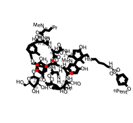 CCCCCOc1ccc(S(=O)(=O)NCCCCNCc2c(O)cc([C@H](NC)C(=O)O)c(-c3cc([C@H]4NC(=O)[C@@H]5NC(=O)[C@H](CC(N)=O)NC(=O)[C@H](NC(=O)[C@@H](CC(C)C)NC)[C@H](O)c6ccc(c(C)c6)Oc6cc5cc(c6O[C@@H]5O[C@H](CO)[C@@H](O)[C@H](O)[C@H]5O[C@H]5C[C@](C)(NC(=O)CN)[C@H](O)[C@H](C)O5)Oc5ccc(cc5Cl)[C@@H](O)[C@@H](C=O)NC4=O)ccc3O)c2C)cc1